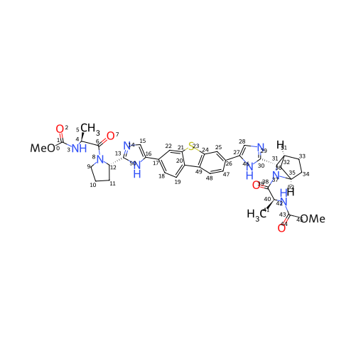 COC(=O)N[C@@H](C)C(=O)N1CCC[C@H]1c1ncc(-c2ccc3c(c2)sc2cc(-c4cnc([C@@H]5[C@H]6CC[C@H](C6)N5C(=O)[C@H](C)NC(=O)OC)[nH]4)ccc23)[nH]1